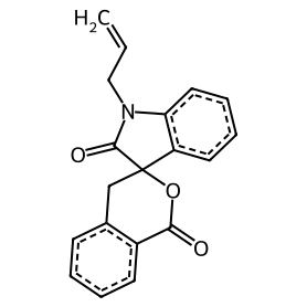 C=CCN1C(=O)C2(Cc3ccccc3C(=O)O2)c2ccccc21